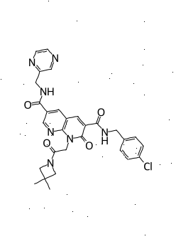 CC1(C)CN(C(=O)Cn2c(=O)c(C(=O)NCc3ccc(Cl)cc3)cc3cc(C(=O)NCc4cnccn4)cnc32)C1